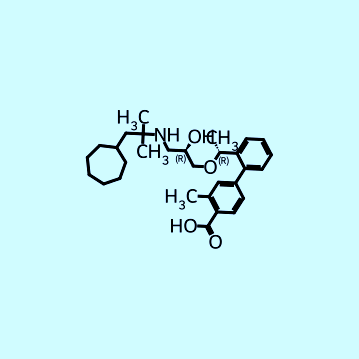 Cc1cc(-c2ccccc2[C@@H](C)OC[C@H](O)CNC(C)(C)CC2CCCCCC2)ccc1C(=O)O